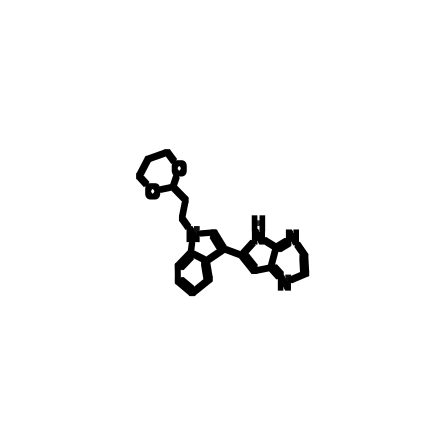 c1ccc2c(c1)c(-c1cc3nccnc3[nH]1)cn2CCC1OCCCO1